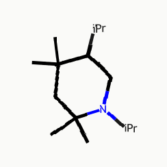 CC(C)C1CN(C(C)C)C(C)(C)CC1(C)C